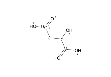 O=C(O)C(O)C[13C](=O)O